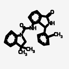 Cc1ccccc1C1NC(=O)c2cccc(NC(=O)N3CC(C)(C)c4ccccc43)c21